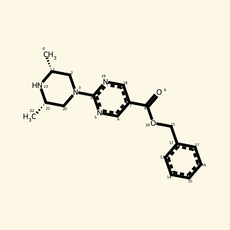 C[C@@H]1CN(c2ncc(C(=O)OCc3ccccc3)cn2)C[C@H](C)N1